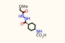 COCC(=O)NNC(=O)[C@H]1CC[C@H](NC(=O)O)CC1